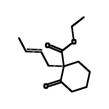 CC=CCC1(C(=O)OCC)CCCCC1=O